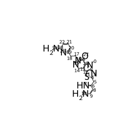 Cn1c2nc(CC(=N)/C=C\N)sc2c2cnn(CCc3cccc(N)n3)c(=O)c21